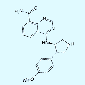 COc1ccc([C@H]2CNC[C@@H]2Nc2ncnc3c(C(N)=O)cccc23)cc1